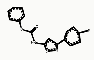 O=C(Nc1cc(-c2ccc(F)cc2)ns1)Oc1ccccc1